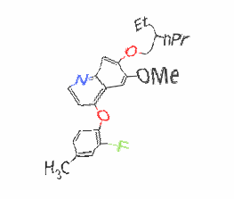 CCCC(CC)COc1cc2nccc(Oc3ccc(C)cc3F)c2cc1OC